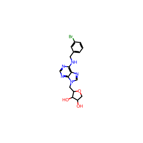 OC1COC(Cn2cnc3c(NCc4cccc(Br)c4)ncnc32)C1O